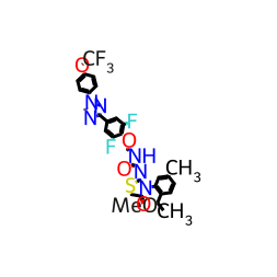 COC(C)c1ccc(C)cc1N1C(=O)CS/C1=N\C(=O)NCOc1c(F)cc(-c2ncn(-c3ccc(OC(F)(F)F)cc3)n2)cc1F